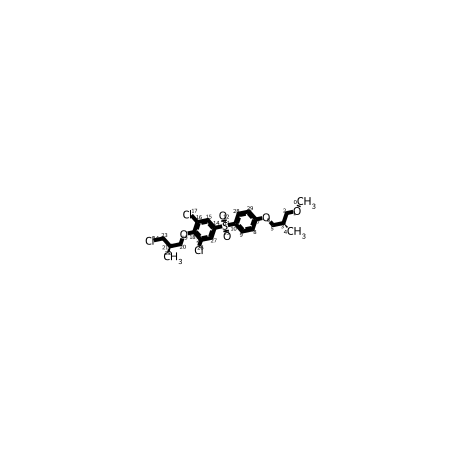 COC[C@H](C)COc1ccc(S(=O)(=O)c2cc(Cl)c(OC[C@@H](C)CCl)c(Cl)c2)cc1